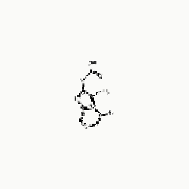 CCCCC(=O)Oc1oc2cccc(CC)c2c1C